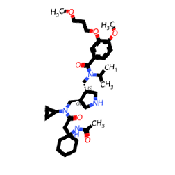 COCCCOc1cc(C(=O)N(C[C@@H]2CNC[C@H]2CN(C(=O)CC2(NC(C)=O)CCCCC2)C2CC2)C(C)C)ccc1OC